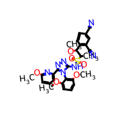 COc1cccc(-c2nnc(NS(=O)(=O)C(C)C(OC)c3ccc(C#N)cc3C#N)n2-c2c(OC)cccc2OC)n1